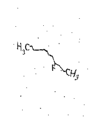 C[CH]CC(F)CCCCCC